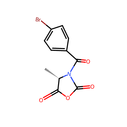 C[C@H]1C(=O)OC(=O)N1C(=O)c1ccc(Br)cc1